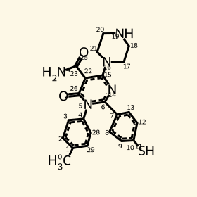 Cc1ccc(-n2c(-c3ccc(S)cc3)nc(N3CCNCC3)c(C(N)=O)c2=O)cc1